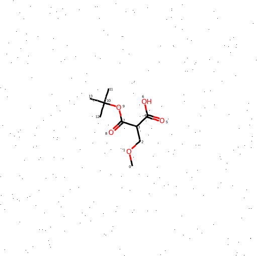 COCC(C(=O)O)C(=O)OC(C)(C)C